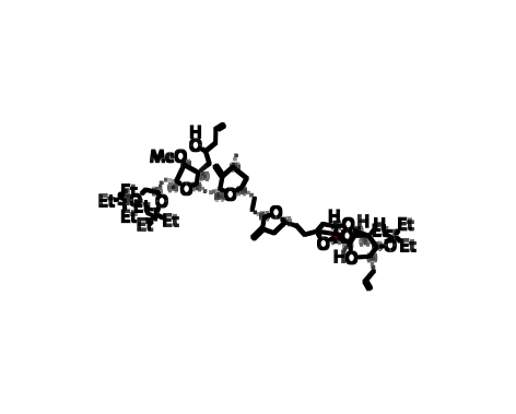 C=CCC(O)C[C@@H]1[C@@H](OC)[C@@H](C[C@@H](CO[Si](CC)(CC)CC)O[Si](CC)(CC)CC)O[C@H]1C[C@H]1O[C@@H](CC[C@@H]2O[C@@H](CCC34C[C@H]5O[C@H]6[C@@H](O3)[C@@H](O[Si](CC)(CC)CC)[C@H](CC=C)O[C@H]6[C@H]5O4)CC2=C)C[C@@H](C)C1=C